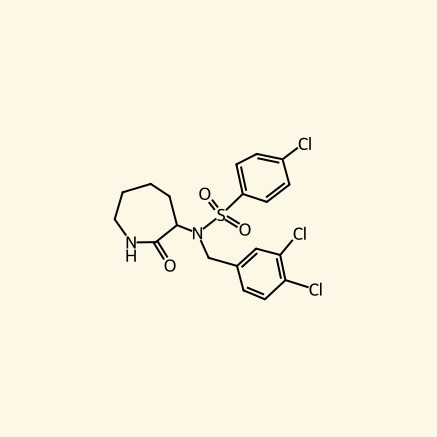 O=C1NCCCCC1N(Cc1ccc(Cl)c(Cl)c1)S(=O)(=O)c1ccc(Cl)cc1